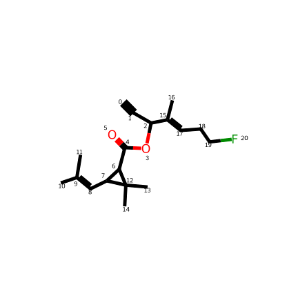 C#CC(OC(=O)C1C(C=C(C)C)C1(C)C)C(C)=CCCF